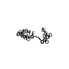 CN1CCC[C@@H]1c1cc2cnc(NC(=O)c3ccc(CCCC#Cc4cccc5c4CN(C4CCC(=O)N(COCC[Si](C)(C)C)C4=O)C5=O)c(F)c3)cc2n1C(=O)OC(C)(C)C